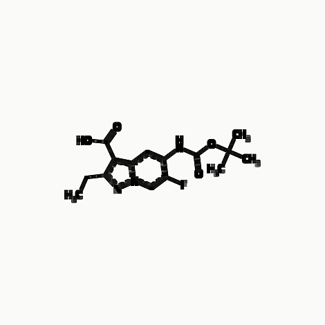 CCc1nn2cc(F)c(NC(=O)OC(C)(C)C)cc2c1C(=O)O